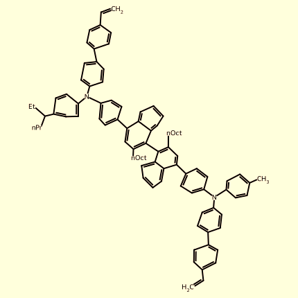 C=Cc1ccc(-c2ccc(N(c3ccc(C)cc3)c3ccc(-c4cc(CCCCCCCC)c(-c5c(CCCCCCCC)cc(-c6ccc(N(c7ccc(-c8ccc(C=C)cc8)cc7)c7ccc(C(CC)CCC)cc7)cc6)c6ccccc56)c5ccccc45)cc3)cc2)cc1